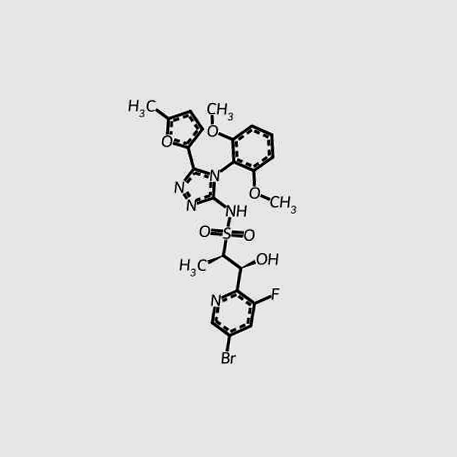 COc1cccc(OC)c1-n1c(NS(=O)(=O)[C@H](C)[C@@H](O)c2ncc(Br)cc2F)nnc1-c1ccc(C)o1